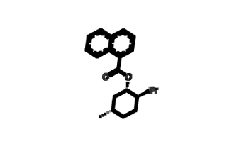 CC(C)[C@H]1CC[C@H](C)C[C@@H]1OC(=O)c1cccc2ccccc12